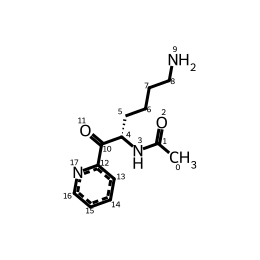 CC(=O)N[C@@H](CCCCN)C(=O)c1ccccn1